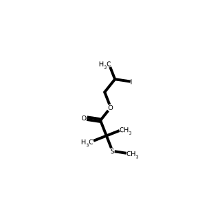 CSC(C)(C)C(=O)OCC(C)I